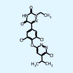 CCn1nc(-c2cc(Cl)c(Oc3cc(C(C)C)c(Cl)nn3)c(Cl)c2)c(=O)[nH]c1=O